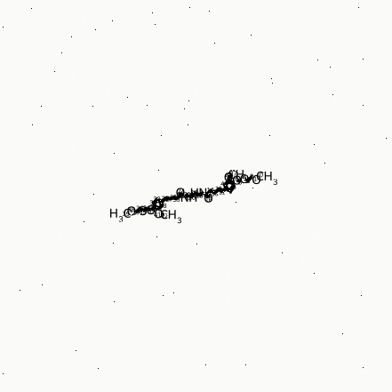 COCCOCOc1ccc(C=CC=CC(=O)NCCCCNC(=O)C=CC=Cc2ccc(OCOCCOC)c(OC)c2)cc1OC